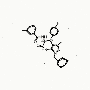 Cc1cccc(C(=O)N[C@@H]2C(=O)Nc3c(c(C)nn3Cc3ccccc3)[C@@H]2c2ccc(F)cc2)c1